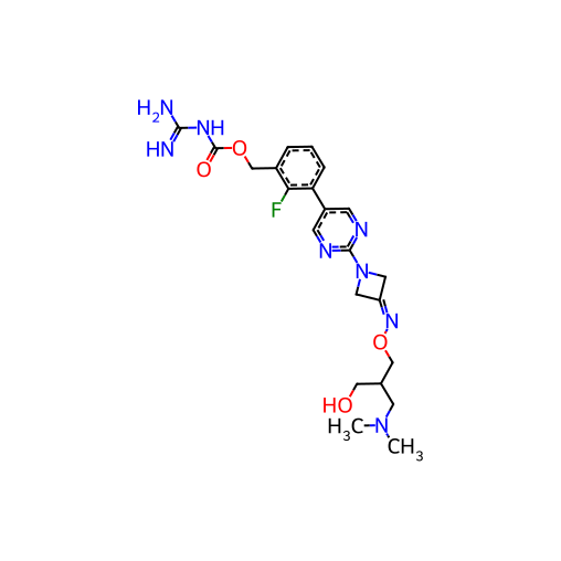 CN(C)CC(CO)CON=C1CN(c2ncc(-c3cccc(COC(=O)NC(=N)N)c3F)cn2)C1